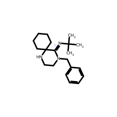 CC(C)(C)/N=C1\N(Cc2ccccc2)CCNC12CCCCC2